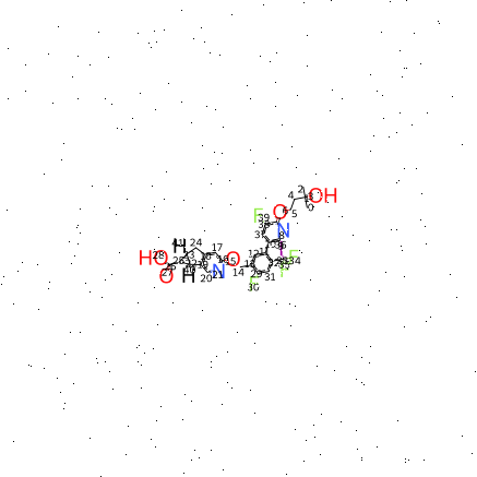 CC(C)(O)CCOc1ncc(-c2cc(COc3cc4c(cn3)[C@H]3[C@@H](C4)[C@@H]3C(=O)O)c(F)cc2C(F)(F)I)cc1F